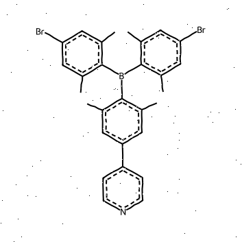 Cc1cc(Br)cc(C)c1B(c1c(C)cc(Br)cc1C)c1c(C)cc(-c2ccncc2)cc1C